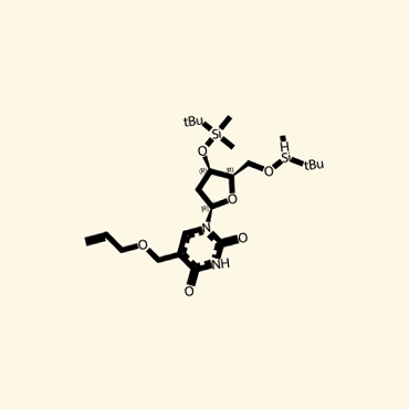 C=CCOCc1cn([C@H]2C[C@@H](O[Si](C)(C)C(C)(C)C)[C@@H](CO[SiH](C)C(C)(C)C)O2)c(=O)[nH]c1=O